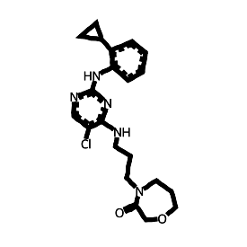 O=C1COCCCN1CCCNc1nc(Nc2ccccc2C2CC2)ncc1Cl